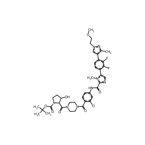 COCCn1cc(-c2ccc(-c3cnc(C(=O)Nc4ccc(C(=O)N5CCN(C(=O)C6C(O)CCN6C(=O)OC(C)(C)C)CC5)c(Cl)c4)n3C)c(F)c2F)c(C)n1